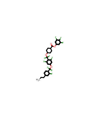 CCCc1ccc(C(F)(F)Oc2cc(F)c(C(F)(F)OC3CCC(C(=O)Oc4cc(F)c(F)c(F)c4)CC3)c(F)c2)c(F)c1